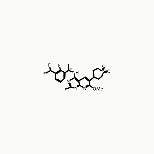 COc1nc2nc(C)nc(N[C@H](C)c3cccc(C(F)F)c3F)c2cc1C1CCS(=O)(=O)CC1